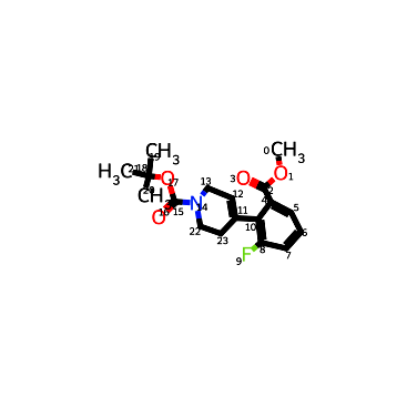 COC(=O)c1cccc(F)c1C1=CCN(C(=O)OC(C)(C)C)CC1